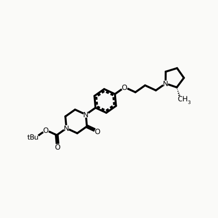 C[C@H]1CCCN1CCCOc1ccc(N2CCN(C(=O)OC(C)(C)C)CC2=O)cc1